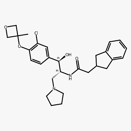 CC1(Oc2ccc([C@@H](O)[C@@H](CN3CCCC3)NC(=O)CC3Cc4ccccc4C3)cc2Cl)COC1